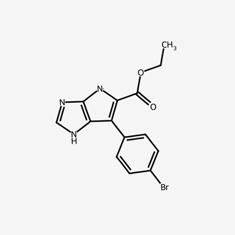 CCOC(=O)C1=C(c2ccc(Br)cc2)c2[nH]cnc2[N]1